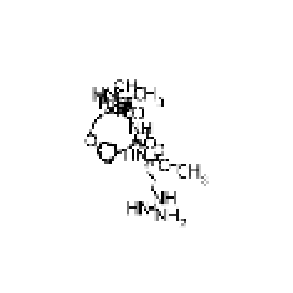 CCOC(=O)[C@H](CCCNC(=N)N)NC(=O)[C@@H]1Cc2ccc(cc2)OCCC[C@H](C(=O)NO)[C@@H](CC(C)C)C(=O)N1